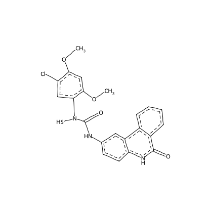 COc1cc(OC)c(N(S)C(=O)Nc2ccc3[nH]c(=O)c4ccccc4c3c2)cc1Cl